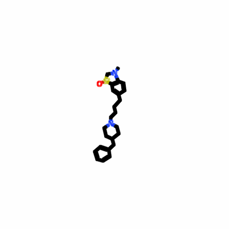 CN1C[S+]([O-])c2cc(CCCCN3CCC(Cc4ccccc4)CC3)ccc21